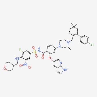 CC1CN(c2ccc(C(=O)NS(=O)(=O)c3cc(F)c(NCC4CCOCC4)c([N+](=O)[O-])c3)c(Oc3cnc4[nH]ccc4c3)c2)CCN1CC1=C(c2ccc(Cl)cc2)CC(C)(C)CC1